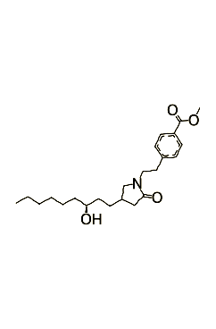 CCCCCC[C@H](O)CCC1CC(=O)N(CCc2ccc(C(=O)OC)cc2)C1